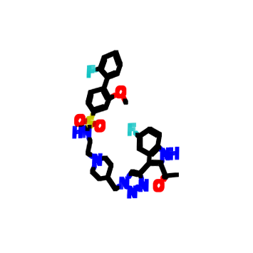 COc1cc(S(=O)(=O)NCCN2CCC(Cn3cc(-c4c(C(C)=O)[nH]c5ccc(F)cc45)nn3)CC2)ccc1-c1ccccc1F